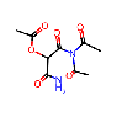 CC(=O)OC(C(N)=O)C(=O)N(C(C)=O)C(C)=O